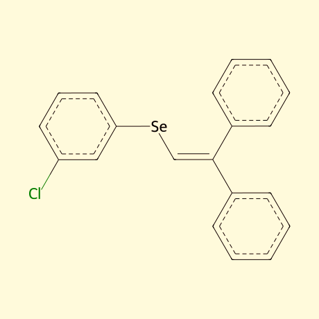 Clc1cccc([Se]C=C(c2ccccc2)c2ccccc2)c1